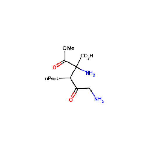 CCCCCC(C(=O)CN)C(N)(C(=O)O)C(=O)OC